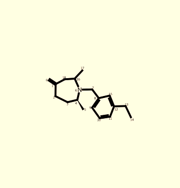 C=C1CC[C@H](C)N(Cc2cccc(CC)c2)C(C)C1